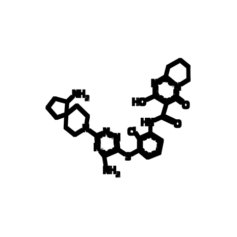 Nc1nc(N2CCC3(CCCC3N)CC2)nnc1Sc1cccc(NC(=O)c2c(O)nc3n(c2=O)CCCC3)c1Cl